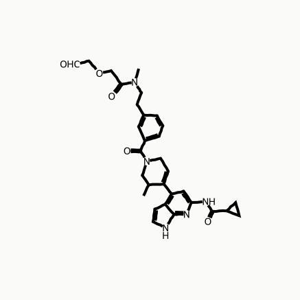 CC1CN(C(=O)c2cccc(CCN(C)C(=O)COCC=O)c2)CC=C1c1cc(NC(=O)C2CC2)nc2[nH]ccc12